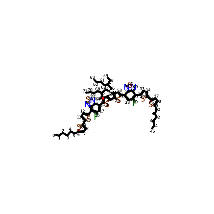 CCCCCCc1ccc(-c2ccc(-c3c(F)cc(-c4cc5c(s4)-c4sc(-c6cc(F)c(-c7ccc(-c8ccc(CCCCCC)s8)s7)c7nsnc67)cc4[Si]5(CC(CC)CCCC)CC(CC)CCCC)c4nsnc34)s2)s1